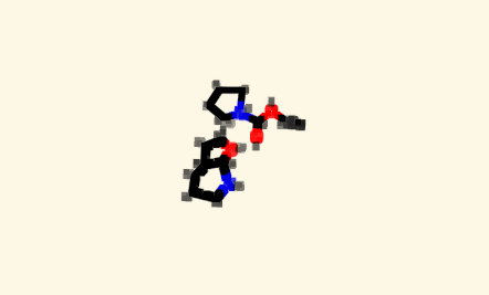 CC(C)(C)OC(=O)N1CCC[C@H]1c1cc2cccnc2o1